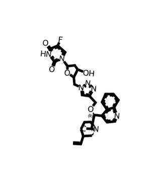 C=CC1C[N@@]2CCC1CC2[C@H](OCc1cn(CC2OC(n3cc(F)c(=O)[nH]c3=O)CC2O)nn1)c1ccnc2ccccc12